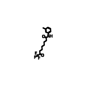 Cc1cccc(NC(=O)CCCCCCC(=O)C(F)(F)F)c1